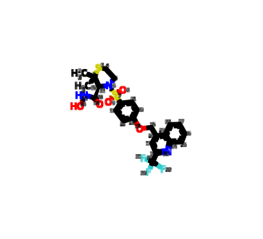 CC1(C)SCCN(S(=O)(=O)c2ccc(OCc3cc(C(F)(F)F)nc4ccccc34)cc2)[C@H]1C(=O)NO